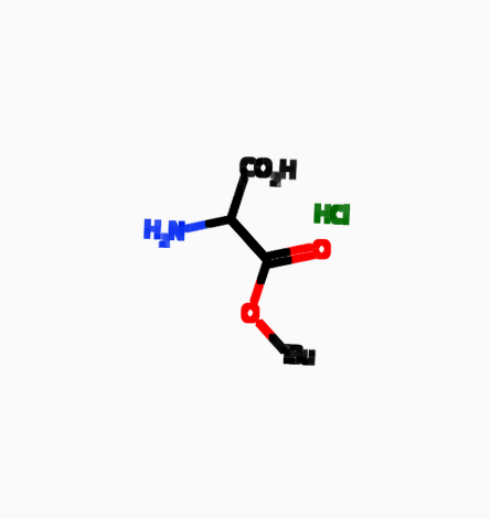 CCC(C)OC(=O)C(N)C(=O)O.Cl